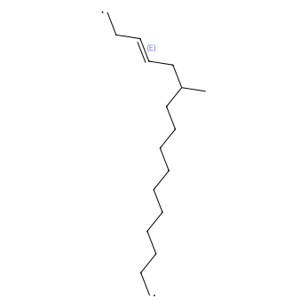 [CH2]C/C=C/CC(C)CCCCCCCCC[CH2]